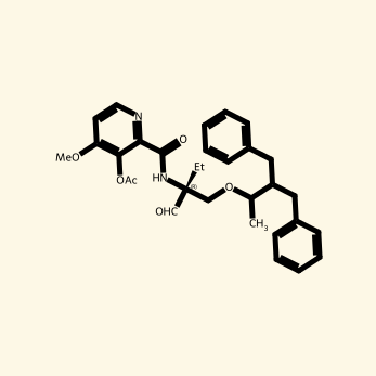 CC[C@](C=O)(COC(C)C(Cc1ccccc1)Cc1ccccc1)NC(=O)c1nccc(OC)c1OC(C)=O